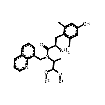 CCOC(OCC)C(C)N(Cc1cccc2cccnc12)C(=O)C(N)Cc1c(C)cc(O)cc1C